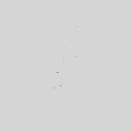 O=C(CN1C[C@@H]2C[C@](O)(Cc3ccccc3)C[C@@H]2C1)c1cnc(O)cn1